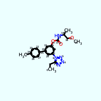 CCc1nnnn1-c1cc(OC(=O)NC(C)COC)cc(-c2ccc(C)cc2)c1